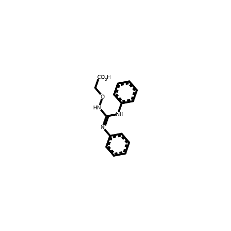 O=C(O)CONC(=Nc1ccccc1)Nc1ccccc1